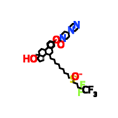 CN1CCN(C2CCN(C(=O)Oc3ccc4c(c3)CC(CCCCCCCCC[S+]([O-])CCCC(F)(F)C(F)(F)F)C3C4CCC4(C)C(O)CCC34)CC2)CC1